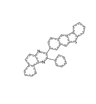 c1ccc(-c2nc3c(ccc4ccccc43)nc2-c2ccc3cc4c(cc3c2)sc2ccccc24)cc1